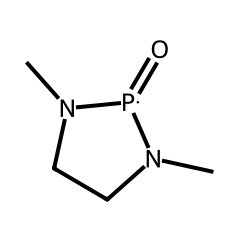 CN1CCN(C)[P]1=O